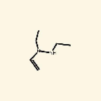 C=CN(CC)NCC